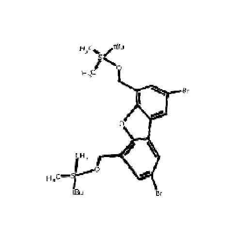 CC(C)(C)[Si](C)(C)OCc1cc(Br)cc2c1oc1c(CO[Si](C)(C)C(C)(C)C)cc(Br)cc12